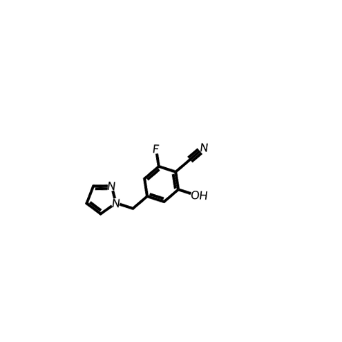 N#Cc1c(O)cc(Cn2cccn2)cc1F